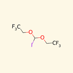 FC(F)(F)COC(I)OCC(F)(F)F